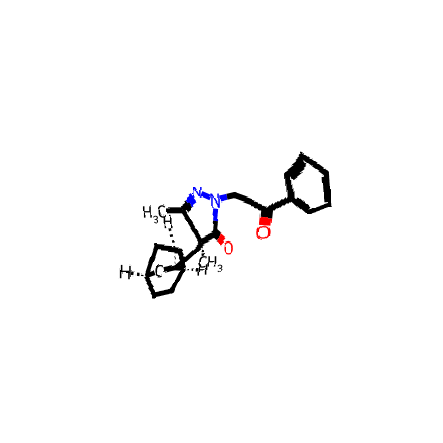 CC1=NN(CC(=O)c2ccccc2)C(=O)[C@@]1(C)[C@@H]1C[C@H]2CC[C@@H]1CC2